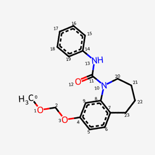 COCOc1ccc2c(c1)N(C(=O)Nc1ccccc1)CCCC2